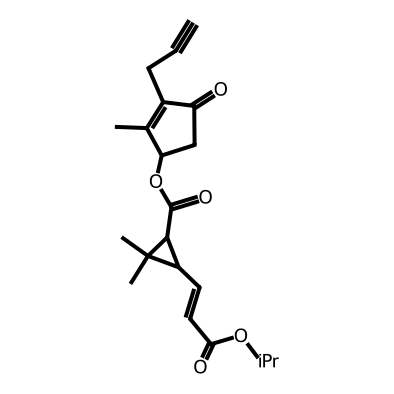 C#CCC1=C(C)C(OC(=O)C2C(C=CC(=O)OC(C)C)C2(C)C)CC1=O